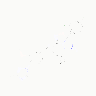 COc1cc(/C=C2\CC3(CC3)CN3C2=NOC3(CN)c2ccc(F)cc2Br)ccc1-n1cnc(C)n1